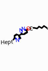 CCCCCCCc1ccc(-c2ccc(OCCCCCCC3CC3)nn2)cn1